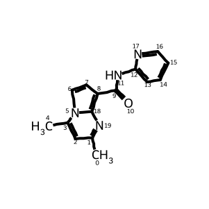 Cc1cc(C)n2ccc(C(=O)Nc3ccccn3)c2n1